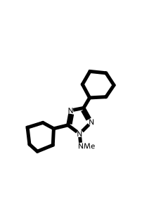 CNn1nc(C2CCCCC2)nc1C1CCCCC1